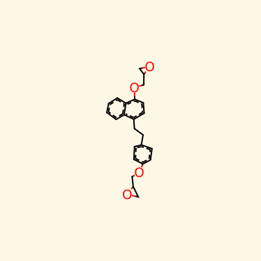 c1ccc2c(OCC3CO3)ccc(CCc3ccc(OCC4CO4)cc3)c2c1